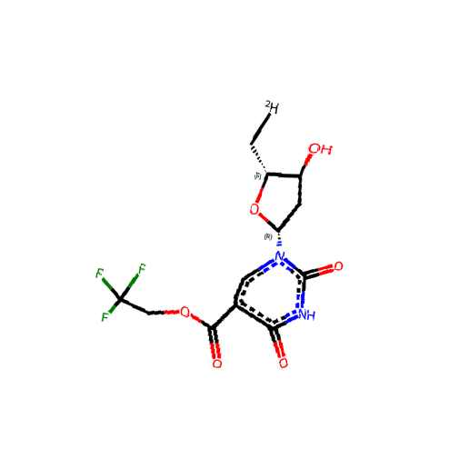 [2H]C[C@H]1O[C@@H](n2cc(C(=O)OCC(F)(F)F)c(=O)[nH]c2=O)CC1O